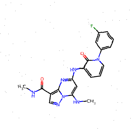 CNC(=O)c1cnn2c(NC)cc(Nc3cccn(-c4cccc(F)c4)c3=O)nc12